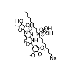 CCCCCCCCCCCCCCCCC[CH2][Na].COc1cc(C(=O)Nc2nc(=O)n([C@@H]3O[C@H](C)[C@@H](O)[C@H]3O)cc2F)cc(OC)c1OC.O=P(O)(O)O